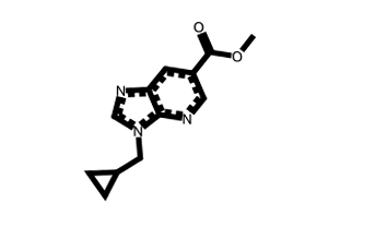 COC(=O)c1cnc2c(c1)ncn2CC1CC1